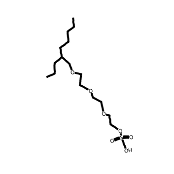 CCCCCC(CCC)COCCOCCOCCOS(=O)(=O)O